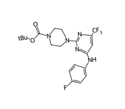 CC(C)(C)OC(=O)N1CCN(c2nc(Nc3ccc(F)cc3)cc(C(F)(F)F)n2)CC1